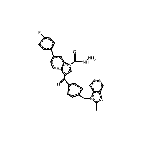 Cc1nc2cnccc2n1Cc1ccc(C(=O)c2cn(C(=O)NN)c3cc(-c4ccc(F)cc4)ccc23)cc1